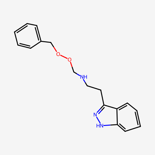 c1ccc(COOCNCCc2n[nH]c3ccccc23)cc1